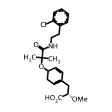 CO[C@@H](CC1=CCC(OC(C)(C)C(=O)NCCc2ccccc2Cl)C=C1)C(=O)O